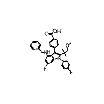 COCC(C)(C)c1c(-c2ccc(C(=O)O)cc2)c2c(NCc3ccccc3)cc(F)cc2n1-c1ccc(F)cc1